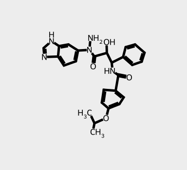 CC(C)Oc1ccc(C(=O)NC(c2ccccc2)C(O)C(=O)N(N)c2ccc3nc[nH]c3c2)cc1